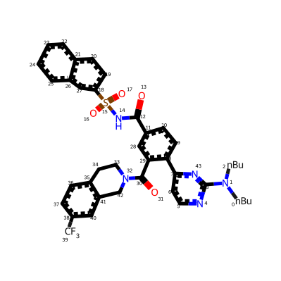 CCCCN(CCCC)c1nccc(-c2ccc(C(=O)NS(=O)(=O)c3ccc4ccccc4c3)cc2C(=O)N2CCc3ccc(C(F)(F)F)cc3C2)n1